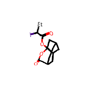 CCC(I)C(=O)OC12CC3CC1CC3C(=O)O2